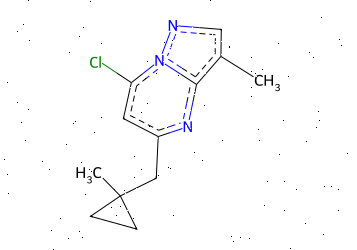 Cc1cnn2c(Cl)cc(CC3(C)CC3)nc12